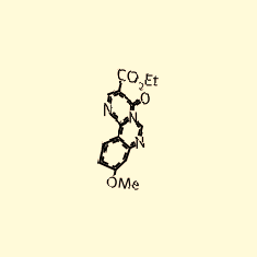 CCOC(=O)c1cnc2c3ccc(OC)cc3ncn2c1=O